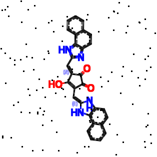 O=C1C(=O)/C(=C\c2nc3ccc4ccccc4c3[nH]2)C(O)=C1/C=C1\Nc2ccc3ccccc3c2N1